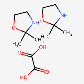 CC1(C)NCCO1.CC1(C)NCCO1.O=C(O)C(=O)O